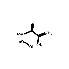 C=C(C)C(=O)OC.CCCO